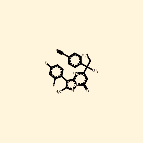 Cc1nn2c(=O)cc(C(C)(CN)c3ccc(C#N)cc3)[nH]c2c1-c1ccc(F)cc1F